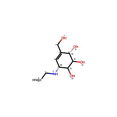 CCCCCCCCN[C@@H]1C=C(CO)[C@H](O)C(O)C1O